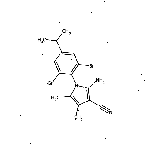 Cc1c(C#N)c(N)n(-c2c(Br)cc(C(C)C)cc2Br)c1C